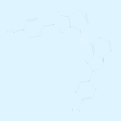 Nc1ccc(-c2nc3c(Oc4cccc5sc(-c6ccc(N)cc6)nc45)cccc3s2)cc1